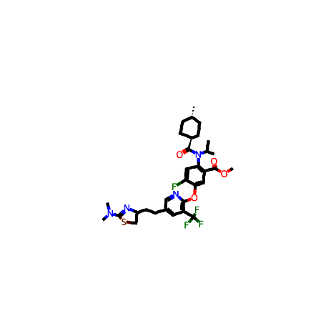 COC(=O)c1cc(Oc2ncc(CCC3CSC(N(C)C)=N3)cc2C(F)(F)F)c(F)cc1N(C(=O)[C@H]1CC[C@H](C)CC1)C(C)C